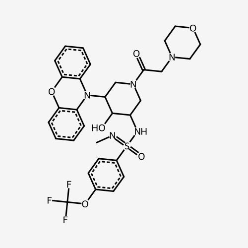 CN=S(=O)(NC1CN(C(=O)CN2CCOCC2)CC(N2c3ccccc3Oc3ccccc32)C1O)c1ccc(OC(F)(F)F)cc1